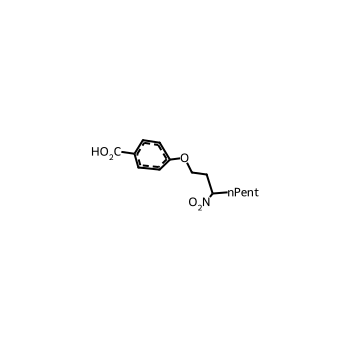 CCCCCC(CCOc1ccc(C(=O)O)cc1)[N+](=O)[O-]